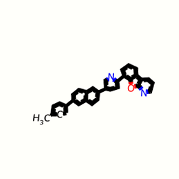 Cc1ccc(-c2ccc3cc(-c4ccc(-c5cccc6c5oc5ncccc56)nc4)ccc3c2)cc1